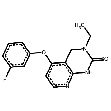 CCN1Cc2c(Oc3cccc(F)c3)ccnc2NC1=O